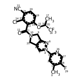 Cc1cc(-n2cc3c(n2)CN(C(=O)c2c(O[C@@H](C)C(F)(F)F)ccc(C#N)c2Cl)C3)ncc1F